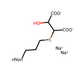 CCCCCCCCCCCCSC(C(=O)[O-])C(O)C(=O)[O-].[Na+].[Na+]